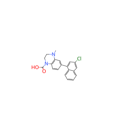 CN1CCN(C(=O)O)c2ccc(-c3cc(Cl)cc4ccccc34)cc21